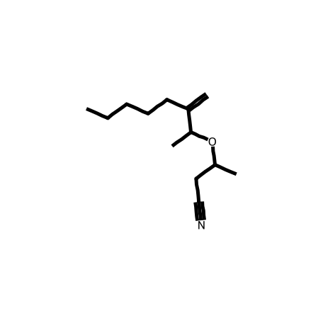 C=C(CCCCC)C(C)OC(C)CC#N